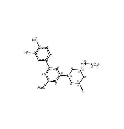 CNc1nc(-c2ccc(C#N)c(F)c2)cc(N2C[C@H](C)C[C@@H](NC(=O)O)C2)n1